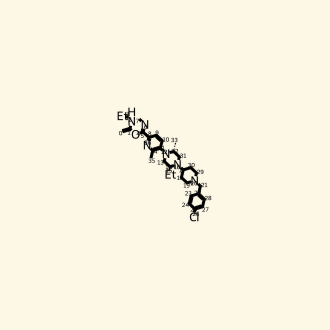 C=C(NCC)O/C(=N\C)c1ccc(N2C[C@H](CC)N(C3CCN(Cc4ccc(Cl)cc4)CC3)C[C@H]2C)c(C)n1